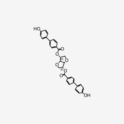 O=C(O[C@H]1COC2C1OC[C@H]2OC(=O)c1ccc(-c2ccc(O)cc2)cc1)c1ccc(-c2ccc(O)cc2)cc1